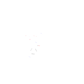 COCCCN1CCC(NC(=O)c2cc(Cl)c(N)c3c2OCC3)CC1.O=[PH](O)O